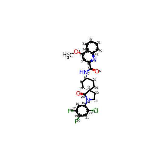 COc1cc(C(=O)N[C@H]2CC[C@@]3(CCN(c4cc(F)c(F)cc4Cl)C3=O)CC2)nc2ccccc12